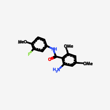 COc1cc(N)c(C(=O)Nc2ccc(OC)c(F)c2)c(OC)c1